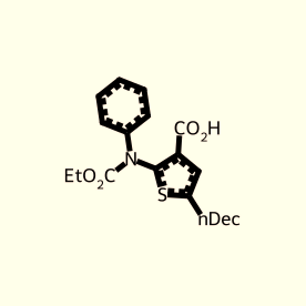 CCCCCCCCCCc1cc(C(=O)O)c(N(C(=O)OCC)c2ccccc2)s1